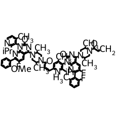 C=CC(=O)N1CC(C)N(c2nc(=O)n(-c3c(C)cc(/C=C\C(=O)N4CC(C)N(c5nc(=O)n(-c6c(C)ccnc6C(C)C)c6nc(-c7ccccc7OC)c(F)cc56)CC4C)nc3C(C)C)c3nc(-c4c(C)cccc4F)c(F)cc23)CC1C